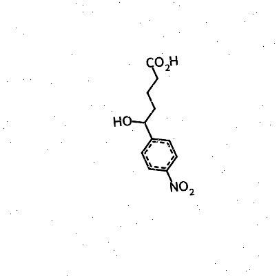 O=C(O)CCCC(O)c1ccc([N+](=O)[O-])cc1